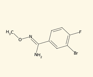 CO/N=C(\N)c1ccc(F)c(Br)c1